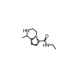 CCNC(=O)c1ccc2n1CCNC2C